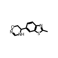 Cc1nc2ccc(C3CON=CN3)cc2s1